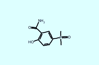 CP(C)(=O)c1ccc(O)c(C(N)=O)c1